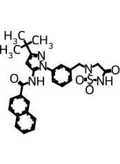 CC(C)(C)c1cc(NC(=O)c2ccc3ccccc3c2)n(-c2cccc(CN3CC(=O)NS3(=O)=O)c2)n1